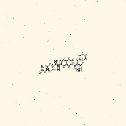 CN/C(CN1CCCCC1)=C(\C=N)c1ccc2cnc(NC(=O)C3CCN(C[C@H](C)F)CC3)cc2c1